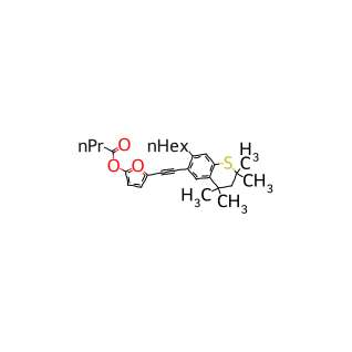 CCCCCCc1cc2c(cc1C#Cc1ccc(OC(=O)CCC)o1)C(C)(C)CC(C)(C)S2